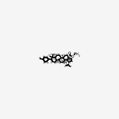 C=C(C)[C@@H]1CC[C@]2(C(=O)OP)CC[C@]3(C)[C@H](CC[C@@H]4[C@@]5(C)CC=C(c6ccc(C)cc6)C(C)(C)[C@@H]5CC[C@]43C)[C@@H]12